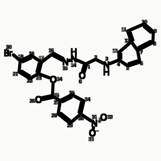 O=C(CNc1ccc2ccccc2c1)N/N=C/c1cc(Br)ccc1OC(=O)c1ccc([N+](=O)[O-])cc1